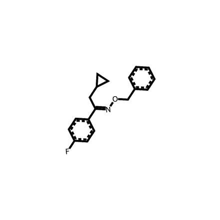 Fc1ccc(/C(CC2CC2)=N/OCc2ccccc2)cc1